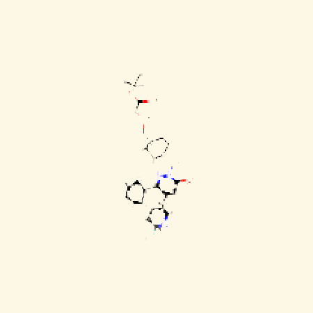 CC(C)(C)OC(=O)COC[C@H]1CC[C@H](Cn2nc(-c3ccccc3)c(-c3ccc(F)nc3)cc2=O)CC1